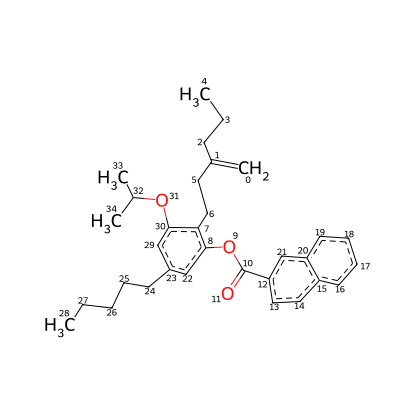 C=C(CCC)CCc1c(OC(=O)c2ccc3ccccc3c2)cc(CCCCC)cc1OC(C)C